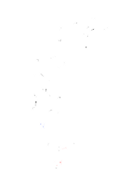 CN(CCC(=O)O)c1ccc(-c2ccc(O[C@H]3CC[C@H](C(C)(C)C)CC3)cc2)cc1